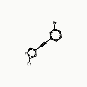 CCn1cc(C#Cc2cccc(Br)c2)cn1